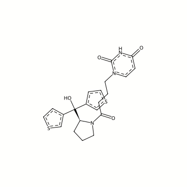 O=C(CCCn1ccc(=O)[nH]c1=O)N1CCC[C@H]1C(O)(c1ccsc1)c1ccsc1